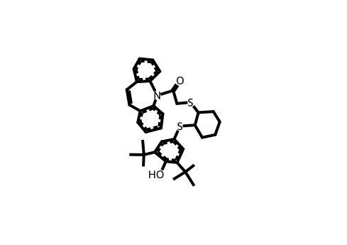 CC(C)(C)c1cc(SC2CCCCC2SCC(=O)N2c3ccccc3C=Cc3ccccc32)cc(C(C)(C)C)c1O